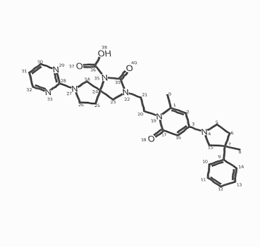 Cc1cc(N2CCC(C)(c3ccccc3)C2)cc(=O)n1CCN1CC2(CCN(c3ncccn3)C2)N(C(=O)O)C1=O